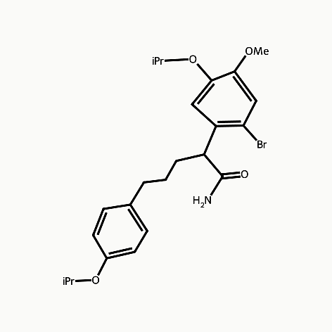 COc1cc(Br)c(C(CCCc2ccc(OC(C)C)cc2)C(N)=O)cc1OC(C)C